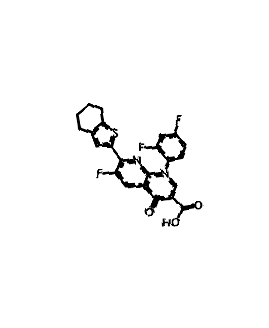 O=C(O)c1cn(-c2ccc(F)cc2F)c2nc(-c3cc4c(s3)CCCC4)c(F)cc2c1=O